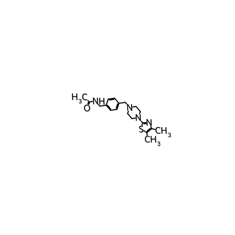 CC(=O)NCc1ccc(CN2CCN(c3nc(C)c(C)s3)CC2)cc1